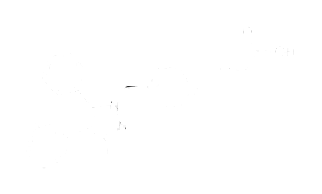 Cc1nn(C[C@H]2CC[C@H](COCC(=O)O)CC2)c(-c2ccccc2)c1-c1ccccc1